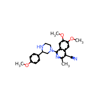 COc1ccc(C2CN(c3nc(C)c(C#N)c4cc(OC)c(OC)cc34)CCN2)cc1